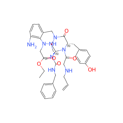 C=CCNCC(=O)N1[C@@H](N(C)C(=O)NCc2ccccc2)CN(Cc2cccc(N)c2N(CC(=O)OCC)NC)C(=O)[C@@H]1Cc1ccc(O)cc1